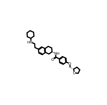 O=C(N[C@H]1CCc2cc(CCNC3CCCCC3)ccc2C1)c1ccc(OC[C@@H]2CCCO2)cc1